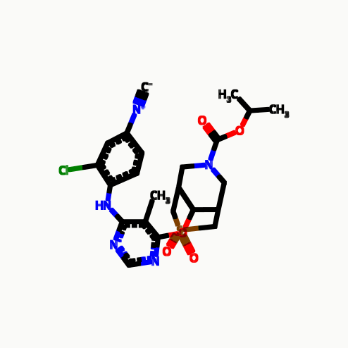 [C-]#[N+]c1ccc(Nc2ncnc(OC3C4CN(C(=O)OC(C)C)CC3CS(=O)(=O)C4)c2C)c(Cl)c1